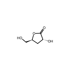 O=C1O[C@H](CO)C[C@H]1O